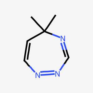 CC1(C)C=CN=NC=N1